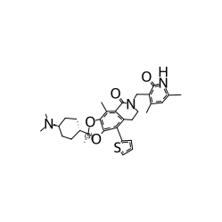 Cc1cc(C)c(CN2CCc3c(c(C)c4c(c3-c3cccs3)O[C@@](C)([C@H]3CC[C@H](N(C)C)CC3)O4)C2=O)c(=O)[nH]1